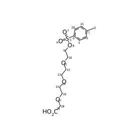 Cc1ccc(S(=O)(=O)OCCOCCOCCOCC(=O)O)cc1